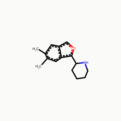 Cc1cc2coc(C3CCCCN3)c2cc1C